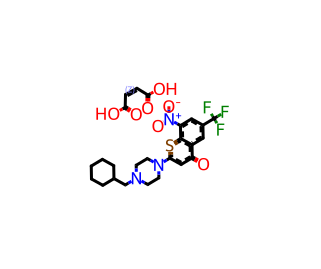 O=C(O)/C=C\C(=O)O.O=c1cc(N2CCN(CC3CCCCC3)CC2)sc2c([N+](=O)[O-])cc(C(F)(F)F)cc12